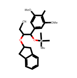 COc1cc(C(O[Si](C)(C)C(C)(C)C)C(CC#N)OC2Cc3ccccc3C2)cc(OC)c1C